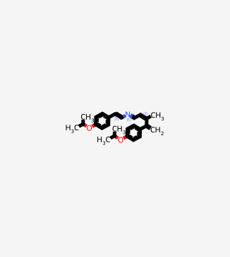 C=C(\C(C)=C/C=N/C=C/c1ccc(OC(C)C)cc1)c1ccc(OC(C)C)cc1